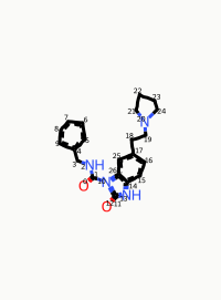 O=C(NCc1ccccc1)n1c(=O)[nH]c2ccc(CCN3CCCC3)cc21